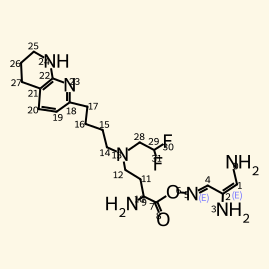 N/C=C(N)\C=N\OC(=O)C(N)CCN(CCCCc1ccc2c(n1)NCCC2)CC(F)F